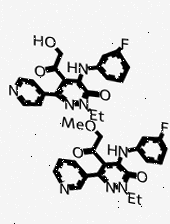 CCn1nc(-c2cccnc2)c(C(=O)COC)c(Nc2cccc(F)c2)c1=O.CCn1nc(-c2ccncc2)c(C(=O)CO)c(Nc2cccc(F)c2)c1=O